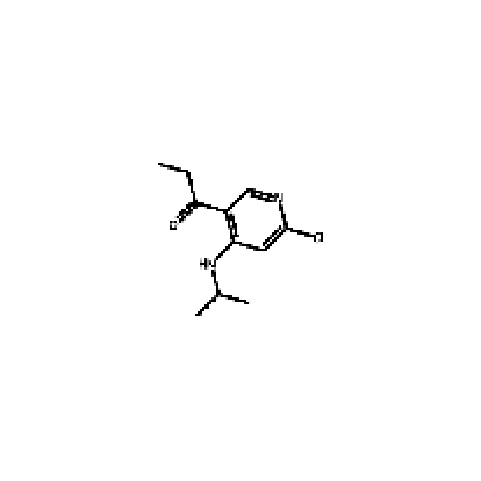 CCC(=O)c1cnc(Cl)cc1NC(C)C